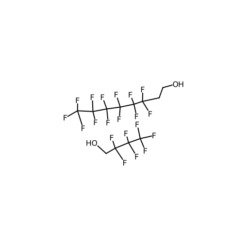 OCC(F)(F)C(F)(F)C(F)(F)F.OCCC(F)(F)C(F)(F)C(F)(F)C(F)(F)C(F)(F)C(F)(F)F